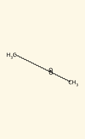 CCCCCCCCCCCCCCCCCCCCCCCCCCCCCC(=O)OCCCCCCCCCCCCCCCC